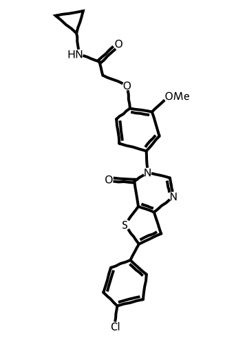 COc1cc(-n2cnc3cc(-c4ccc(Cl)cc4)sc3c2=O)ccc1OCC(=O)NC1CC1